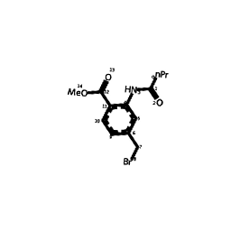 CCCC(=O)Nc1cc(CBr)ccc1C(=O)OC